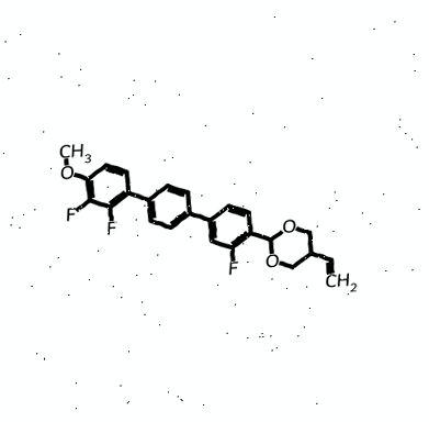 C=CC1COC(c2ccc(-c3ccc(-c4ccc(OC)c(F)c4F)cc3)cc2F)OC1